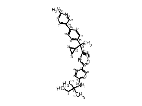 CC(C)(CO)Nc1cnc(-c2nc(C(C)(c3ccc(-c4cnc(N)nc4)cc3)C3CC3)no2)cn1